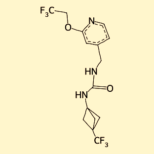 O=C(NCc1ccnc(OCC(F)(F)F)c1)NC12CC(C(F)(F)F)(C1)C2